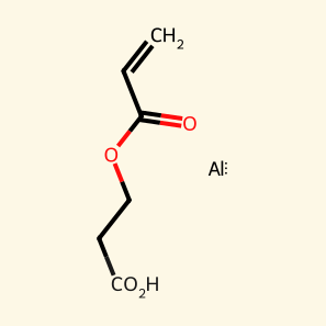 C=CC(=O)OCCC(=O)O.[Al]